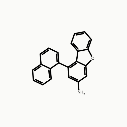 Nc1cc(-c2cccc3ccccc23)c2c(c1)oc1ccccc12